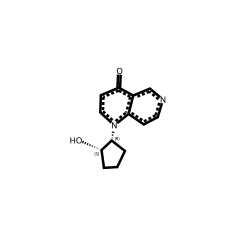 O=c1ccn([C@@H]2CCC[C@@H]2O)c2ccncc12